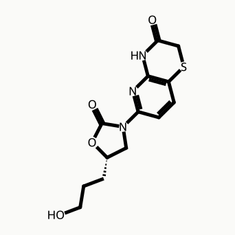 O=C1CSc2ccc(N3C[C@H](CCCO)OC3=O)nc2N1